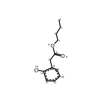 CCCCOC(=O)Cc1ccccc1Cl